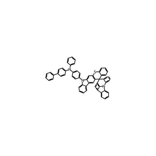 c1ccc(-c2ccc(N(c3ccccc3)c3ccc(-n4c5ccccc5c5cc6c(cc54)Sc4ccccc4C64c5ccccc5-n5c6ccccc6c6cccc4c65)cc3)cc2)cc1